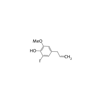 C=CCc1cc(I)c(O)c(OC)c1